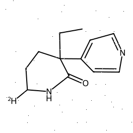 [2H]C1CCC(CC)(c2ccncc2)C(=O)N1